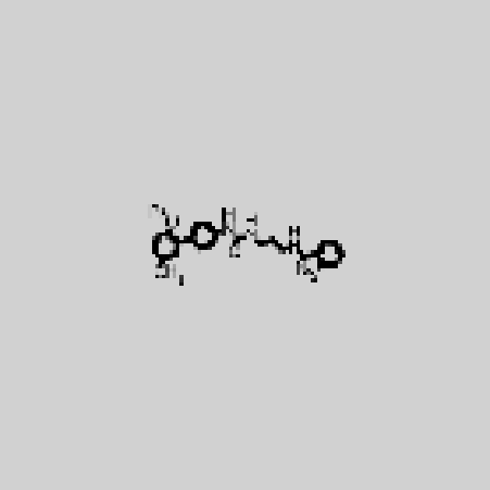 Cc1ccc(OC(C)C)c(-c2ccc(NC(=O)NCCCNc3nsc4ccccc34)cc2)c1